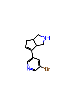 Brc1cncc(C2=CCC3CNCC23)c1